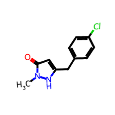 Cn1[nH]c(Cc2ccc(Cl)cc2)cc1=O